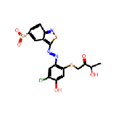 CC(O)C(=O)CSc1cc(O)c(Cl)cc1/N=N/c1snc2ccc([SH](=O)=O)cc12